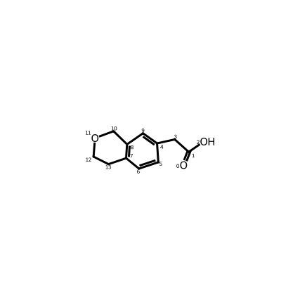 O=C(O)Cc1ccc2c(c1)COCC2